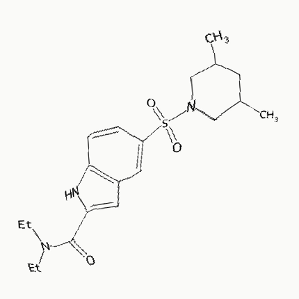 CCN(CC)C(=O)c1cc2cc(S(=O)(=O)N3CC(C)CC(C)C3)ccc2[nH]1